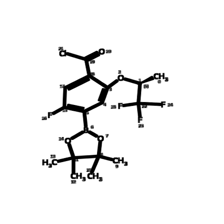 C[C@H](Oc1cc(B2OC(C)(C)C(C)(C)O2)c(F)cc1C(=O)Cl)C(F)(F)F